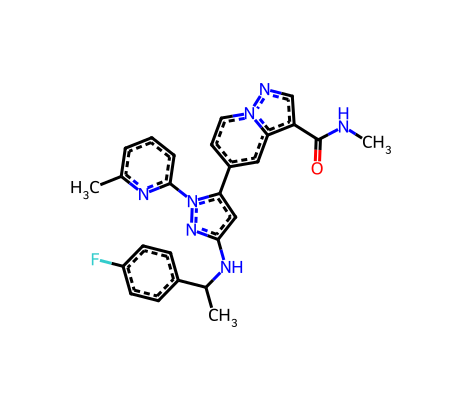 CNC(=O)c1cnn2ccc(-c3cc(NC(C)c4ccc(F)cc4)nn3-c3cccc(C)n3)cc12